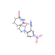 N#Cc1cc([N+](=O)[O-])ccc1N1CCC2(CCCC(=O)NC2=O)C1